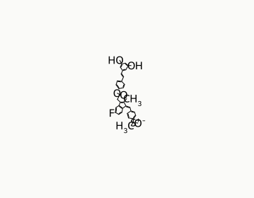 CC1=C(CC(=O)Oc2ccc(/C=C/c3cc(O)cc(O)c3)cc2)c2cc(F)ccc2/C1=C\c1ccc([S+](C)[O-])cc1